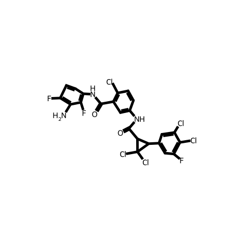 Nc1c(F)ccc(NC(=O)c2cc(NC(=O)C3C(c4cc(F)c(Cl)c(Cl)c4)C3(Cl)Cl)ccc2Cl)c1F